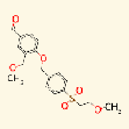 COCCS(=O)(=O)c1ccc(COc2ccc(C=O)cc2COC)cc1